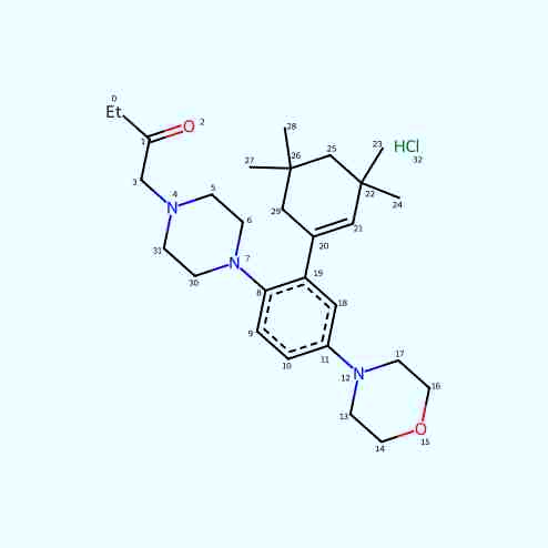 CCC(=O)CN1CCN(c2ccc(N3CCOCC3)cc2C2=CC(C)(C)CC(C)(C)C2)CC1.Cl